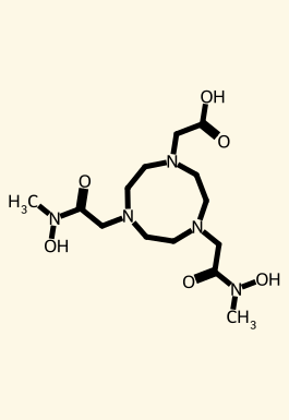 CN(O)C(=O)CN1CCN(CC(=O)O)CCN(CC(=O)N(C)O)CC1